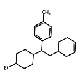 CCC1CCC(C(CC2CC=CCC2)c2ccc(C)cc2)CC1